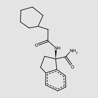 NC(=O)[C@@]1(NC(=O)[CH]C2CCCCC2)CCc2ccccc21